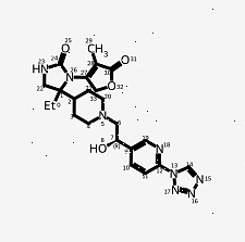 CCC1(C2CCN(C[C@H](O)c3ccc(-n4cnnn4)nc3)CC2)CNC(=O)N1C1=C(C)C(=O)OC1